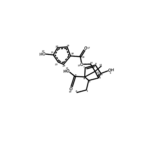 CCC1C2=C(O)C=CC1(C(=O)O)C2(C)COC(=O)c1ccc(O)cc1